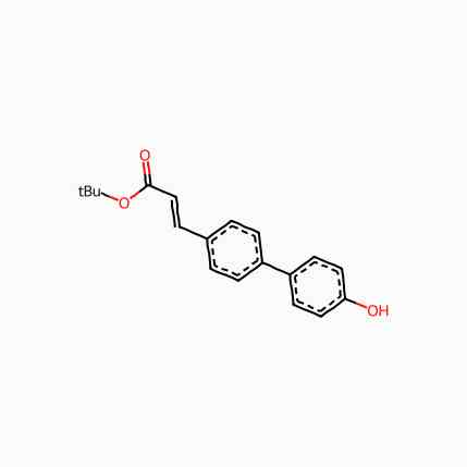 CC(C)(C)OC(=O)C=Cc1ccc(-c2ccc(O)cc2)cc1